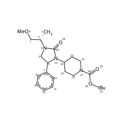 COC[C@H](C)N1CC(c2ccccc2)N(C2CCN(C(=O)OC(C)(C)C)CC2)C1=O